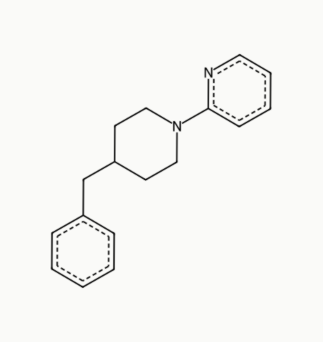 c1ccc(CC2CCN(c3ccccn3)CC2)cc1